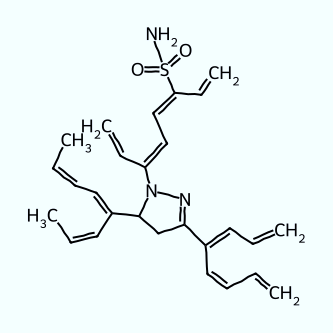 C=C/C=C\C(=C/C=C)C1=NN(/C(C=C)=C/C=C(\C=C)S(N)(=O)=O)C(C(/C=C\C)=C/C=C\C)C1